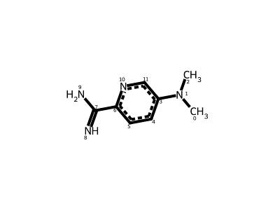 CN(C)c1ccc(C(=N)N)nc1